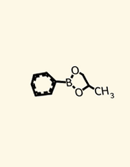 CC1COB(c2ccccc2)O1